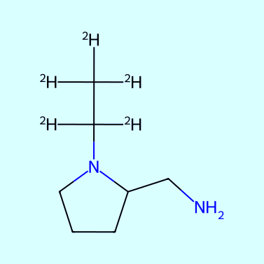 [2H]C([2H])([2H])C([2H])([2H])N1CCCC1CN